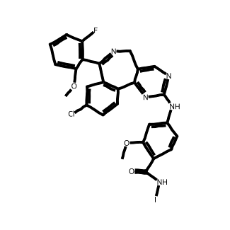 COc1cc(Nc2ncc3c(n2)-c2ccc(Cl)cc2C(c2c(F)cccc2OC)=NC3)ccc1C(=O)NI